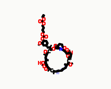 C=COC(=O)OCCCCOC(=O)O[C@@H]1CC[C@@H](C[C@@H](C)[C@@H]2CC(=O)[C@H](C)/C=C(\C)[C@@H](O)[C@@H](OC)C(=O)[C@H](C)C[C@H](C)/C=C/C=C/C=C(\C)[C@@H](OC)C[C@@H]3CC[C@@H](C)[C@@](O)(O3)C(=O)C(=O)N3CCCC[C@H]3C(=O)O2)C[C@H]1OC